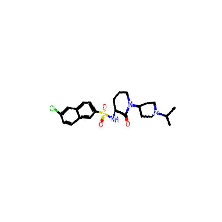 CC(C)N1CCC(N2CCC[C@H](NS(=O)(=O)c3ccc4cc(Cl)ccc4c3)C2=O)CC1